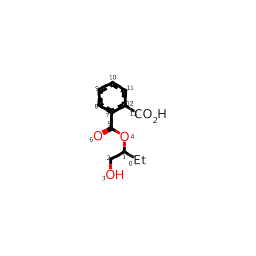 CCC(CO)OC(=O)c1ccccc1C(=O)O